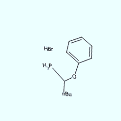 Br.CCCCC(P)Oc1ccccc1